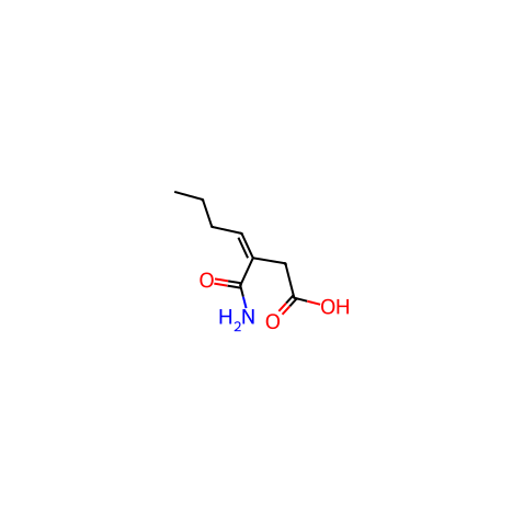 CCCC=C(CC(=O)O)C(N)=O